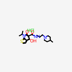 CC1CCN(CCCNC(=O)c2c(O)c3ccsc3n(C(C)C)c2=O)CC1.Cl